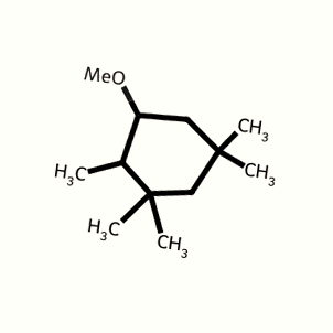 COC1CC(C)(C)CC(C)(C)C1C